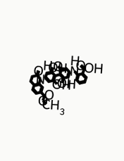 COC(=O)c1ccc2c(c1)N(c1cc(O)c(-c3c(O)cc(Nc4ccccc4C(=O)O)cc3O)c(O)c1)C(=O)CC2